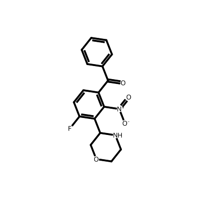 O=C(c1ccccc1)c1ccc(F)c(C2COCCN2)c1[N+](=O)[O-]